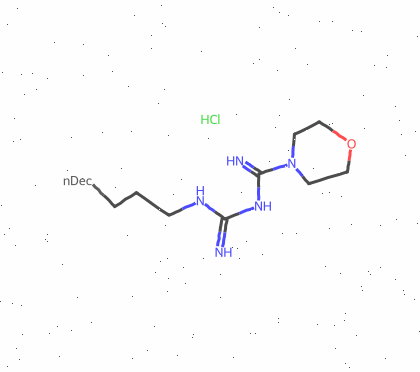 CCCCCCCCCCCCCNC(=N)NC(=N)N1CCOCC1.Cl